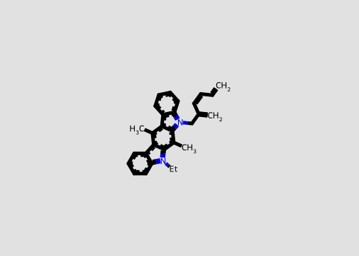 C=C/C=C\C(=C)Cn1c2ccccc2c2c(C)c3c4ccccc4n(CC)c3c(C)c21